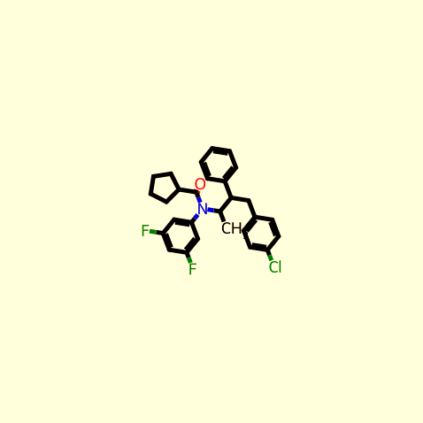 CC(C(Cc1ccc(Cl)cc1)c1ccccc1)N(C(=O)C1CCCC1)c1cc(F)cc(F)c1